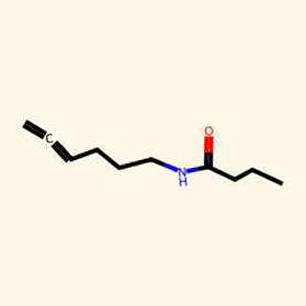 C=C=CCCCNC(=O)CCC